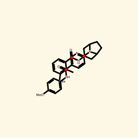 COc1ccc(NC(=O)c2ccc(N3C4CCC3CC(NC(=O)c3cccc(OC)c3C)C4)nc2)cc1